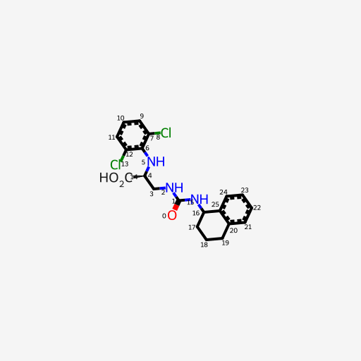 O=C(NC[C@H](Nc1c(Cl)cccc1Cl)C(=O)O)NC1CCCc2ccccc21